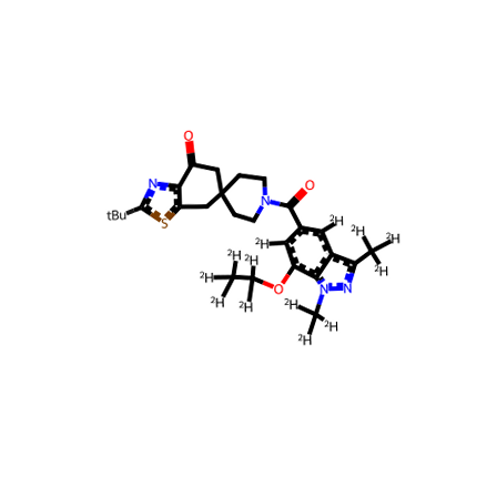 [2H]c1c(C(=O)N2CCC3(CC2)CC(=O)c2nc(C(C)(C)C)sc2C3)c([2H])c2c(C([2H])([2H])[2H])nn(C([2H])([2H])[2H])c2c1OC([2H])([2H])C([2H])([2H])[2H]